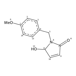 COc1ccc(CN2C(=O)C=CC2O)cc1